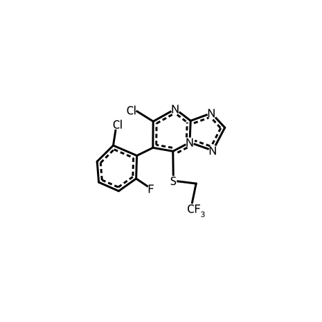 Fc1cccc(Cl)c1-c1c(Cl)nc2ncnn2c1SCC(F)(F)F